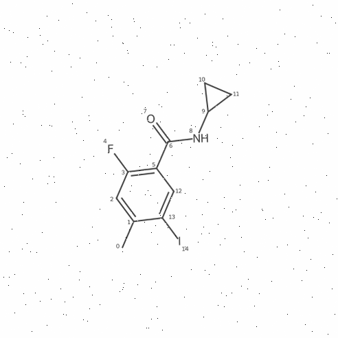 Cc1cc(F)c(C(=O)NC2CC2)cc1I